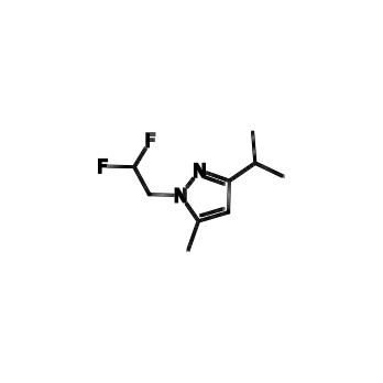 Cc1cc(C(C)C)nn1CC(F)F